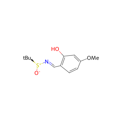 COc1ccc(C=N[S@@+]([O-])C(C)(C)C)c(O)c1